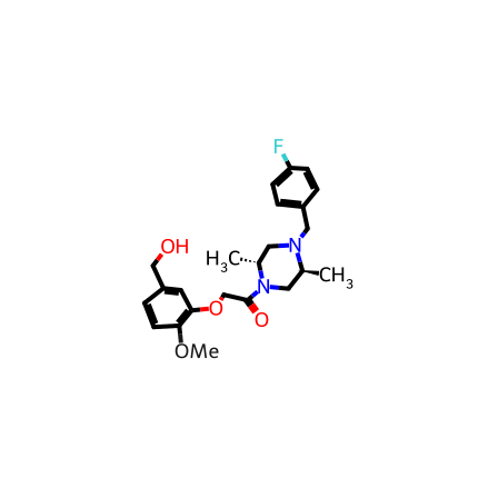 COc1ccc(CO)cc1OCC(=O)N1C[C@H](C)N(Cc2ccc(F)cc2)C[C@H]1C